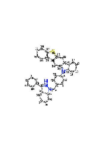 c1ccc(C2NN(Cc3ccc(-n4c5ccccc5c5cc6sc7ccccc7c6cc54)cc3)c3ccccc32)cc1